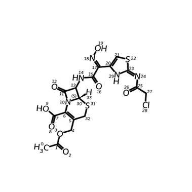 CC(=O)OCC1=C(C(=O)O)N2C(=O)C(NC(=O)C(=NO)c3csc(=NC(=O)CCl)[nH]3)[C@@H]2SC1